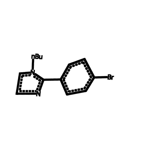 CCCCn1ccnc1-c1ccc(Br)cc1